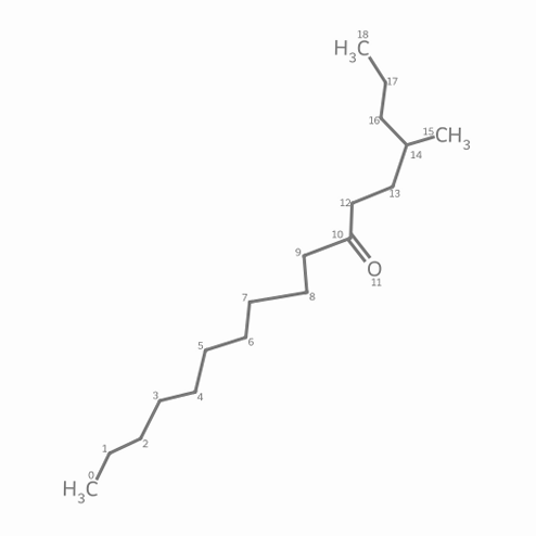 CCCCCCCCCCC(=O)CCC(C)CCC